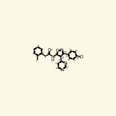 Cc1ccccc1CC(=O)Nc1onc(-c2ccc(Cl)cc2)c1-c1ccncn1